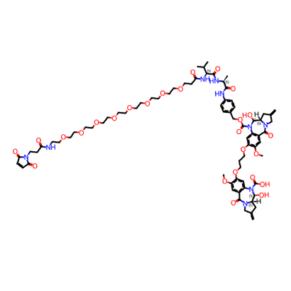 C=C1C[C@H]2[C@H](O)N(C(=O)O)c3cc(OCCCOc4cc5c(cc4OC)C(=O)N4CC(=C)C[C@H]4[C@H](O)N5C(=O)OCc4ccc(NC(=O)[C@H](C)NC(=O)[C@@H](NC(=O)CCOCCOCCOCCOCCOCCOCCOCCOCCNC(=O)CCN5C(=O)C=CC5=O)C(C)C)cc4)c(OC)cc3C(=O)N2C1